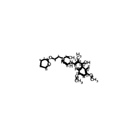 C=CN(CCOC1CCCCO1)/N=C\N/C=C(\C)C(O)c1c(F)c(OC)cc(OC)c1F